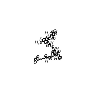 Cc1c(F)cc2nc3c(c4c2c1CC[C@@H]4NC(=O)CCSCNC(=O)CNC(=O)[C@H](Cc1ccccc1)NC(=O)CNC(=O)CNC(=O)CCCCCN1C(=O)C=CC1=O)Cn1c-3cc2c(c1=O)COC(=O)[C@@]2(C)O